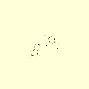 COc1ccc(C[N+](=O)[O-])cc1C(=O)Oc1ccc2nc(N)nc(N)c2c1